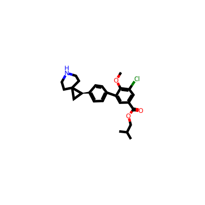 COc1c(Cl)cc(C(=O)OCC(C)C)cc1-c1ccc([C@H]2CC23CCNCC3)cc1